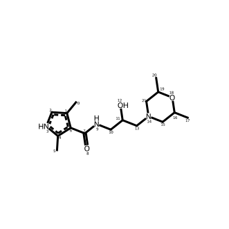 Cc1c[nH]c(C)c1C(=O)NCC(O)CN1CC(C)OC(C)C1